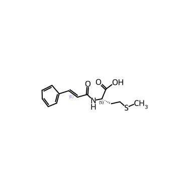 CSCC[C@H](NC(=O)/C=C/c1ccccc1)C(=O)O